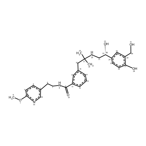 COc1ccc(CCNC(=O)c2cccc(CC(C)(C)NC[C@H](O)c3ccc(O)c(CO)c3)c2)cn1